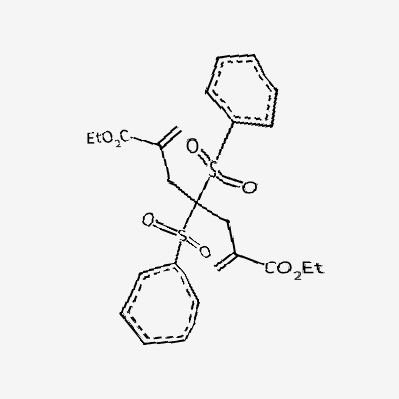 C=C(CC(CC(=C)C(=O)OCC)(S(=O)(=O)c1ccccc1)S(=O)(=O)c1ccccc1)C(=O)OCC